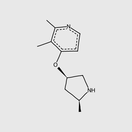 Cc1nccc(O[C@H]2CN[C@@H](C)C2)c1C